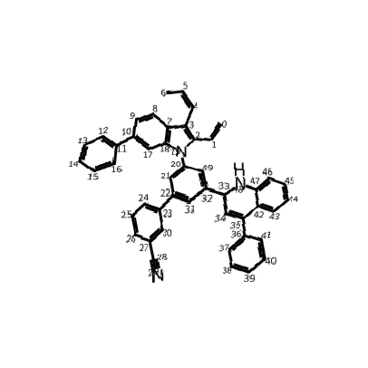 C=Cc1c(/C=C\C)c2ccc(-c3ccccc3)cc2n1-c1cc(-c2cccc(C#N)c2)cc(C2C=C(c3ccccc3)c3ccccc3N2)c1